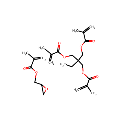 C=C(C)C(=O)OCC(CC)(COC(=O)C(=C)C)COC(=O)C(=C)C.C=C(C)C(=O)OCC1CO1